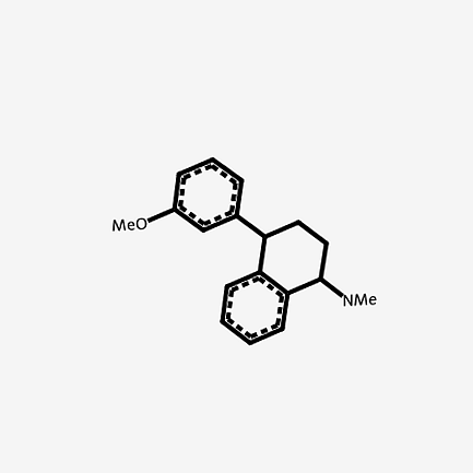 CNC1CCC(c2cccc(OC)c2)c2ccccc21